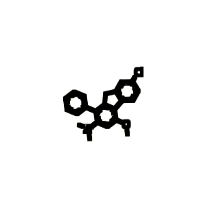 COc1c[c]([Zr]([CH3])[CH3])c(-c2ccccc2)c2c1-c1ccc(Cl)cc1C2